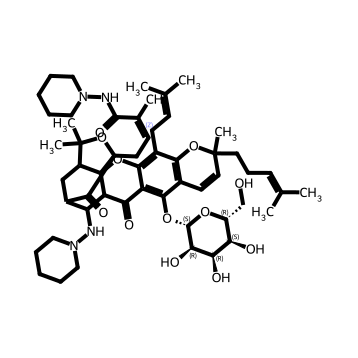 CC(C)=CCCC1(C)C=Cc2c(c(CC=C(C)C)c3c(c2O[C@@H]2O[C@H](CO)[C@@H](O)[C@@H](O)[C@H]2O)C(=O)C2C(NN4CCCCC4)C4CC5C(C)(C)OC(C/C=C(/C)C(=O)NN6CCCCC6)(C4=O)C25O3)O1